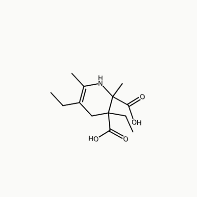 CCC1=C(C)NC(C)(C(=O)O)C(CC)(C(=O)O)C1